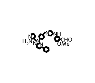 COc1ccc(NC2CCN(Cc3ccc(-n4c(-c5cccnc5N)nc5ccc(-c6ccccc6)nc54)cc3)CC2)cc1C=O